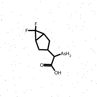 O=C(O)C([AsH2])C1CC2C(C1)C2(F)F